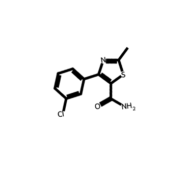 Cc1nc(-c2cccc(Cl)c2)c(C(N)=O)s1